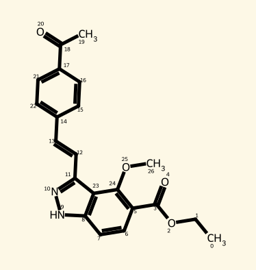 CCOC(=O)c1ccc2[nH]nc(C=Cc3ccc(C(C)=O)cc3)c2c1OC